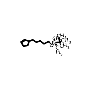 CC(C)(C)[Si](C)(C)OCCCCCC1C=CCC1